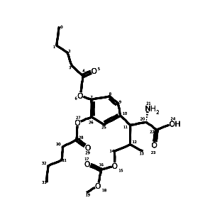 CCCCC(=O)Oc1ccc(C(C(C)COC(=O)OC)[C@H](N)C(=O)O)cc1OC(=O)CCCC